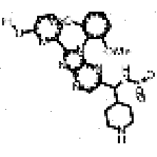 CCOc1cccc(-c2nc3ncc(C(N[SH](=O)=O)C4CCNCC4)nc3n2-c2c(OC)cccc2OC)n1